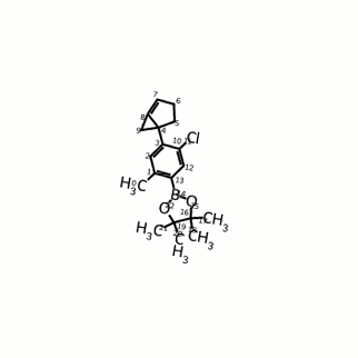 Cc1cc(C23CCC=C2C3)c(Cl)cc1B1OC(C)(C)C(C)(C)O1